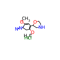 COC1=CC(C2CNCCO2)=C(OC)CC1=[N+]=[N-].Cl